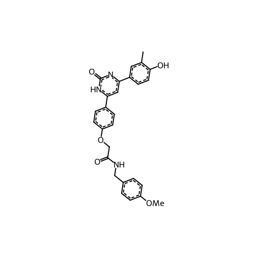 COc1ccc(CNC(=O)COc2ccc(-c3cc(-c4ccc(O)c(C)c4)nc(=O)[nH]3)cc2)cc1